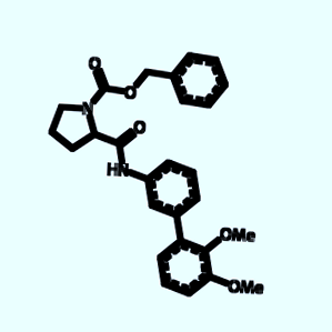 COc1cccc(-c2cccc(NC(=O)C3CCCN3C(=O)OCc3ccccc3)c2)c1OC